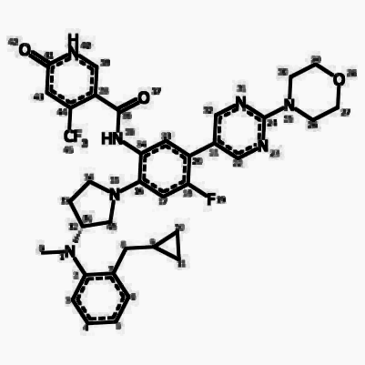 CN(c1ccccc1CC1CC1)[C@@H]1CCN(c2cc(F)c(-c3cnc(N4CCOCC4)nc3)cc2NC(=O)c2c[nH]c(=O)cc2C(F)(F)F)C1